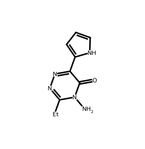 CCc1nnc(-c2ccc[nH]2)c(=O)n1N